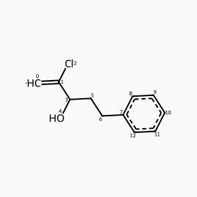 [CH]=C(Cl)C(O)CCc1ccccc1